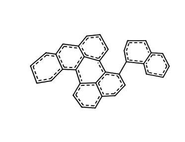 c1ccc2c(-c3ccc4cccc5c4c3c3cccc4cc6ccccc6c5c43)cccc2c1